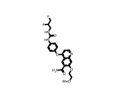 COCCOc1cc2nccc(Oc3ccc(NC(=O)NCC(F)CF)cc3)c2cc1C(N)=O